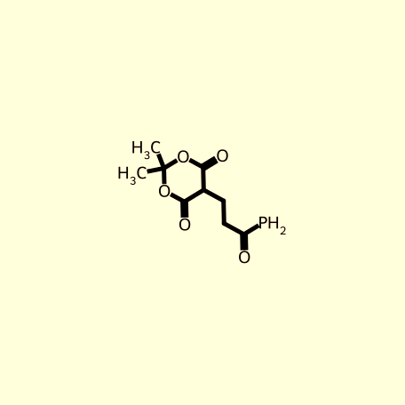 CC1(C)OC(=O)C(CCC(=O)P)C(=O)O1